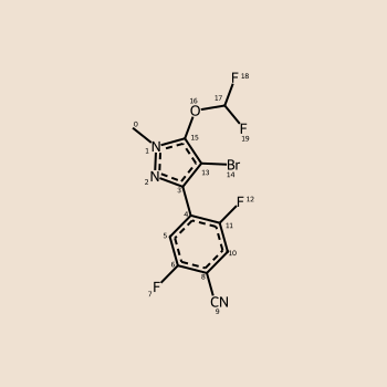 Cn1nc(-c2cc(F)c(C#N)cc2F)c(Br)c1OC(F)F